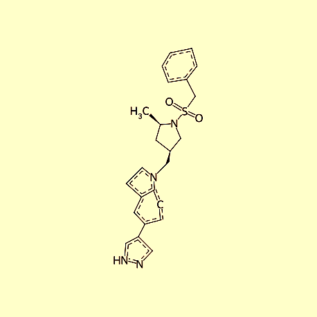 C[C@@H]1C[C@H](Cn2ccc3cc(-c4cn[nH]c4)ccc32)CN1S(=O)(=O)Cc1ccccc1